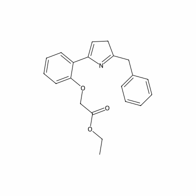 CCOC(=O)COc1ccccc1C1=CCC(Cc2ccccc2)=N1